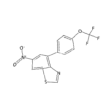 O=[N+]([O-])c1cc(-c2ccc(OC(F)(F)F)cc2)c2ncsc2c1